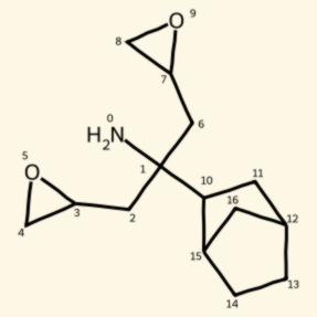 NC(CC1CO1)(CC1CO1)C1CC2CCC1C2